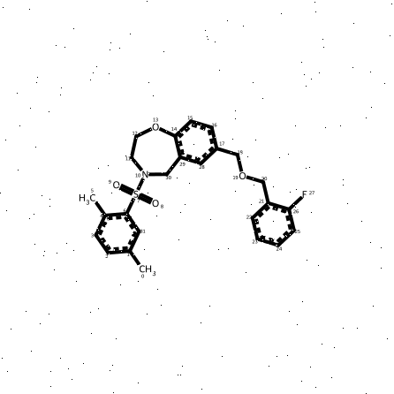 Cc1ccc(C)c(S(=O)(=O)N2CCOc3ccc(COCc4ccccc4F)cc3C2)c1